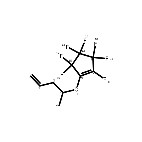 C=CCC(C)OC1=C(F)C(F)(F)C(F)(F)C1(F)F